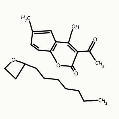 CC(=O)c1c(O)c2cc(C)ccc2oc1=O.CCCCCCCC1CCO1